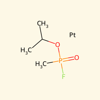 CC(C)OP(C)(=O)F.[Pt]